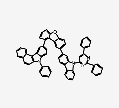 c1ccc(-c2cc(-n3c4ccccc4c4ccc(-c5ccc6oc7cccc(-c8ccc9c(c8)c8c%10ccccc%10ccc8n9-c8ccccc8)c7c6c5)cc43)nc(-c3ccccc3)n2)cc1